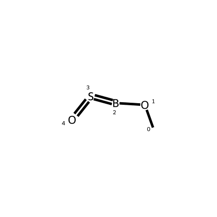 COB=S=O